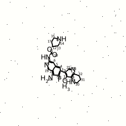 Cc1c(-c2cc3cc(NC(=O)OC4CCNCC4)ncc3c(N)c2F)cnc2c1NCCC2